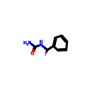 NC(=O)NC(I)c1ccccc1